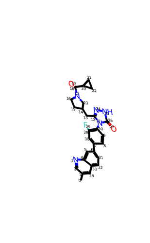 Cc1cnc2cc(-c3ccc(-n4c(CC5CCN(C(=O)C6CC6)C5)n[nH]c4=O)c(F)c3)ccc2c1